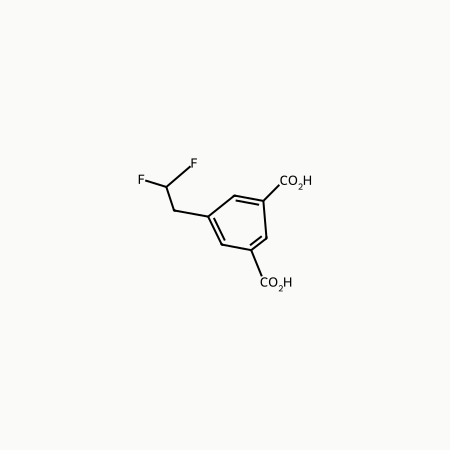 O=C(O)c1cc(CC(F)F)cc(C(=O)O)c1